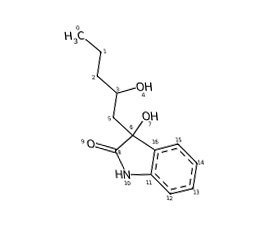 CCCC(O)CC1(O)C(=O)Nc2ccccc21